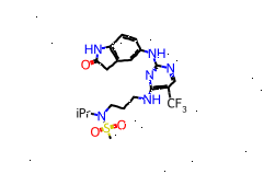 CC(C)N(CCCNc1nc(Nc2ccc3c(c2)CC(=O)N3)ncc1C(F)(F)F)S(C)(=O)=O